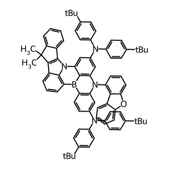 CC(C)(C)c1ccc(N(c2ccc(C(C)(C)C)cc2)c2ccc3c(c2)N(c2cccc4oc5ccccc5c24)c2cc(N(c4ccc(C(C)(C)C)cc4)c4ccc(C(C)(C)C)cc4)cc4c2B3c2cccc3c5c(n-4c23)-c2ccccc2C5(C)C)cc1